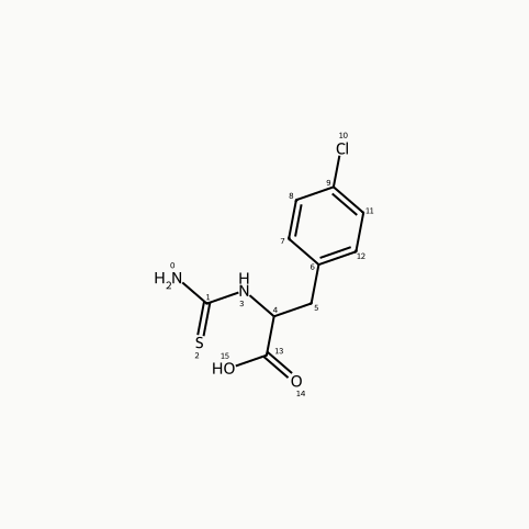 NC(=S)NC(Cc1ccc(Cl)cc1)C(=O)O